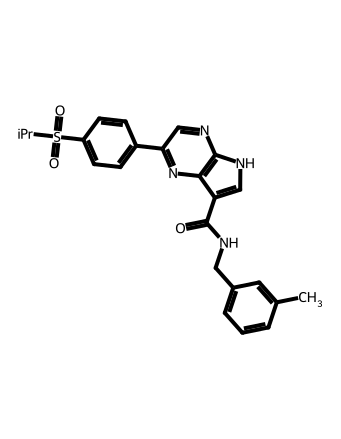 Cc1cccc(CNC(=O)c2c[nH]c3ncc(-c4ccc(S(=O)(=O)C(C)C)cc4)nc23)c1